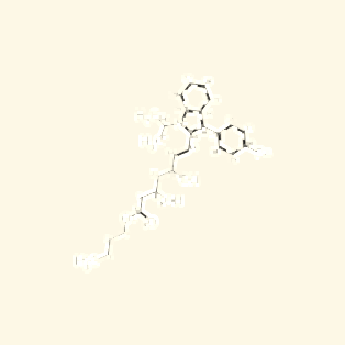 CCCCOC(=O)CC(O)CC(O)/C=C/c1c(-c2ccc(F)cc2)c2ccccc2n1C(C)C